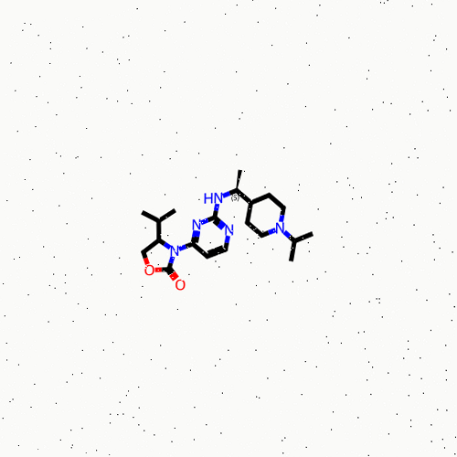 CC(C)C1COC(=O)N1c1ccnc(N[C@@H](C)C2CCN(C(C)C)CC2)n1